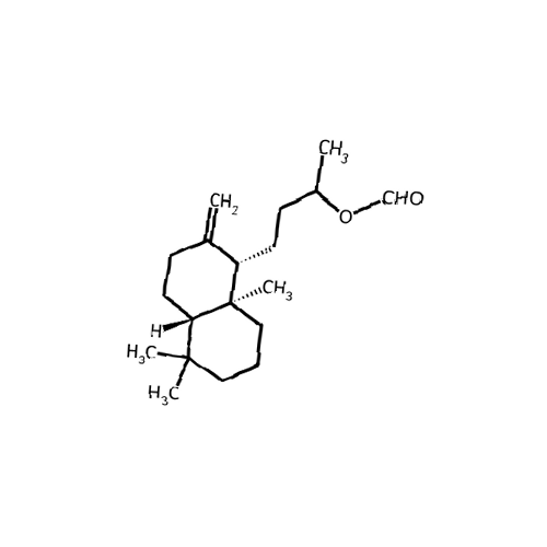 C=C1CC[C@H]2C(C)(C)CCC[C@]2(C)[C@H]1CCC(C)OC=O